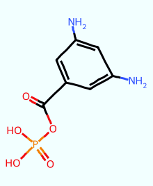 Nc1cc(N)cc(C(=O)OP(=O)(O)O)c1